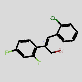 Fc1ccc(/C(=C/c2ccccc2Cl)CBr)c(F)c1